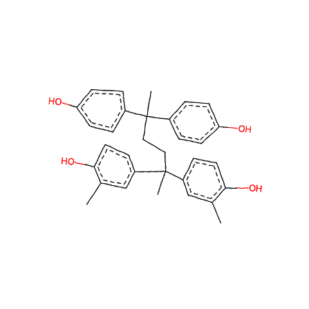 Cc1cc(C(C)(CCC(C)(c2ccc(O)cc2)c2ccc(O)cc2)c2ccc(O)c(C)c2)ccc1O